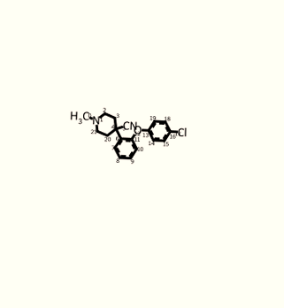 CN1CCC(C#N)(c2ccccc2Oc2ccc(Cl)cc2)CC1